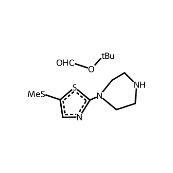 CC(C)(C)OC=O.CSc1cnc(N2CCNCC2)s1